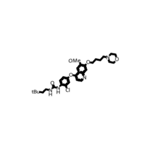 COc1cc2c(Oc3ccc(NC(=O)NCCC(C)(C)C)c(Cl)c3)ccnc2cc1OCCCCN1CCOCC1